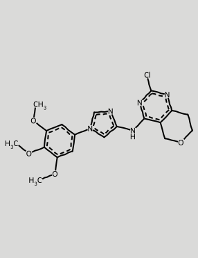 COc1cc(-n2cnc(Nc3nc(Cl)nc4c3COCC4)c2)cc(OC)c1OC